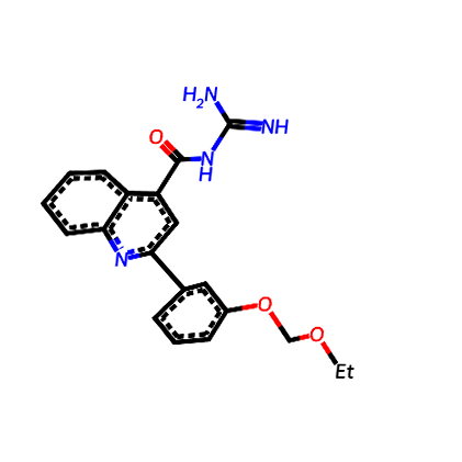 CCOCOc1cccc(-c2cc(C(=O)NC(=N)N)c3ccccc3n2)c1